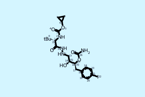 CC(C)(C)[C@H](NC(=O)OC1CC1)C(=O)NNC[C@H](O)[C@H](Cc1ccc(I)cc1)OC(N)=O